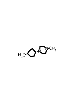 CN1CCN([C@H]2CC[C@H](C)CC2)CC1